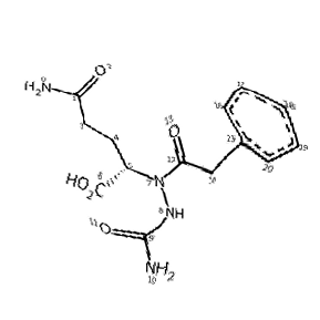 NC(=O)CC[C@@H](C(=O)O)N(NC(N)=O)C(=O)Cc1ccccc1